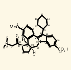 COc1ccc2c(c1)[C@@H]1[C@H](CCN1C(=O)CN(C)C)Cn1c-2c(C2CCCCC2)c2ccc(C(=O)O)cc21